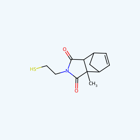 CC12C(=O)N(CCS)C(=O)C1C1C=CC2C1